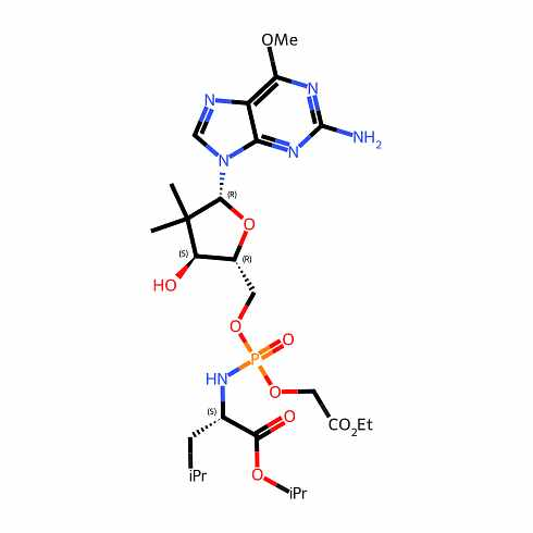 CCOC(=O)COP(=O)(N[C@@H](CC(C)C)C(=O)OC(C)C)OC[C@H]1O[C@@H](n2cnc3c(OC)nc(N)nc32)C(C)(C)[C@@H]1O